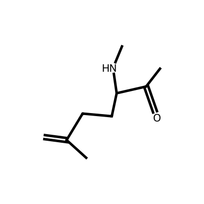 C=C(C)CCC(NC)C(C)=O